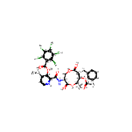 COc1ccnc(C(=O)N[C@H]2COC(=O)[C@H](Cc3ccccc3)[C@@H](OC(=O)C(C)C)[C@H](C)OC2=O)c1OC(=O)c1c(F)c(F)c(F)c(F)c1F